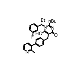 CCCCc1nc(=O)c(Cc2ccc(-c3cccnc3C)cc2)c(O)n1[C@@H](CC)c1cccc(F)c1